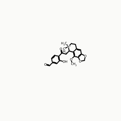 COc1c2c(cc3c1C(CC(=O)c1ccc(C=O)cc1O)[N+](C)(C)CC3)OCO2